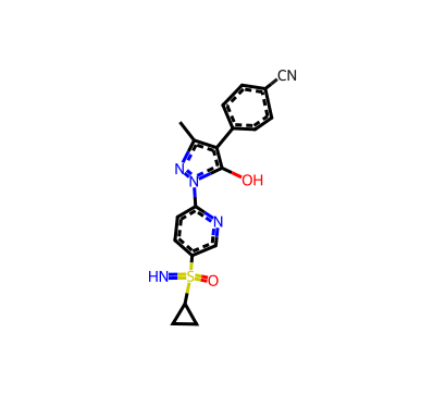 Cc1nn(-c2ccc(S(=N)(=O)C3CC3)cn2)c(O)c1-c1ccc(C#N)cc1